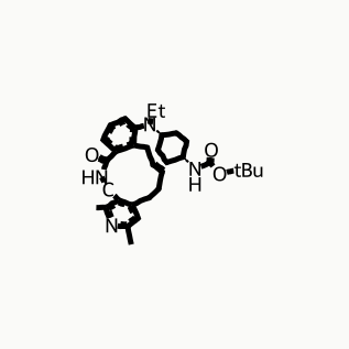 CCN(c1cccc2c1C/C=C/CCc1cc(C)nc(C)c1CNC2=O)[C@H]1CC[C@@H](NC(=O)OC(C)(C)C)CC1